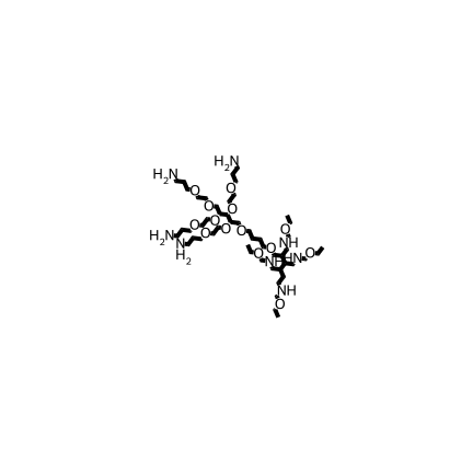 CCOCNCCC(CNCOCC)C(CNCOCC)C(CNCOCC)COCCCCOCC(OCCOCCCN)C(OCCOCCCN)C(COCCOCCCN)OCCOCCCN